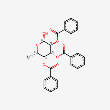 C[C@@H]1O[C@@H](O)[C@@H](OC(=O)c2ccccc2)[C@H](OC(=O)c2ccccc2)[C@@H]1OC(=O)c1ccccc1